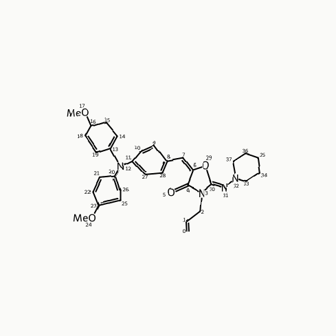 C=CCN1C(=O)/C(=C\c2ccc(N(C3=CCC(OC)C=C3)c3ccc(OC)cc3)cc2)OC1=NN1CCCCC1